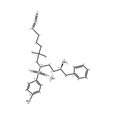 CC(C)(CCCN=[N+]=[N-])CN(C[C@@H](O)[C@@H](N)Cc1ccccc1)S(=O)(=O)c1ccc(O)cc1